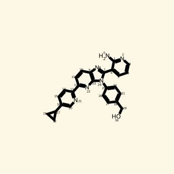 Nc1ncccc1-c1nc2ccc(-c3ccc(C4CC4)cn3)nc2n1-c1ccc(CO)cc1